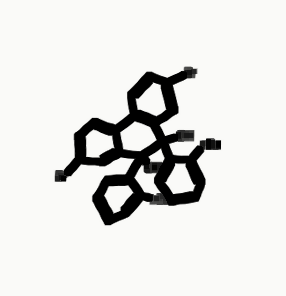 CCCCc1ccccc1C1(O)c2cc(Br)ccc2-c2ccc(Br)cc2C1(O)c1ccccc1CCCC